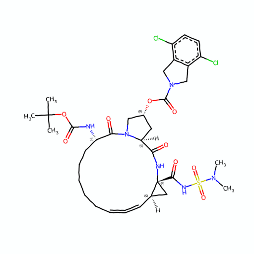 CN(C)S(=O)(=O)NC(=O)[C@@]12C[C@H]1C=C=CCCCCC[C@H](NC(=O)OC(C)(C)C)C(=O)N1C[C@H](OC(=O)N3Cc4c(Cl)ccc(Cl)c4C3)C[C@H]1C(=O)N2